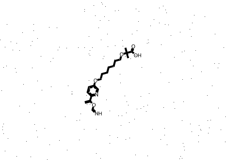 C=C(OC=N)c1ccc(OCCCCCCCOC(C)(C)C(=O)O)cn1